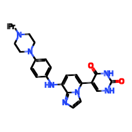 CC(C)N1CCN(c2ccc(Nc3ccc(-c4c[nH]c(=O)[nH]c4=O)n4ccnc34)cc2)CC1